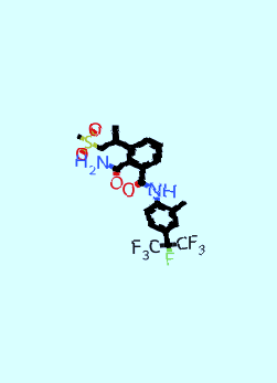 Cc1cc(C(F)(C(F)(F)F)C(F)(F)F)ccc1NC(=O)c1cccc(C(C)CS(C)(=O)=O)c1C(N)=O